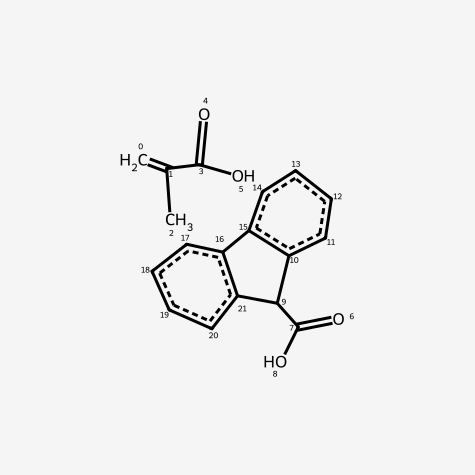 C=C(C)C(=O)O.O=C(O)C1c2ccccc2-c2ccccc21